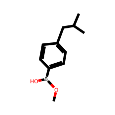 COB(O)c1ccc(CC(C)C)cc1